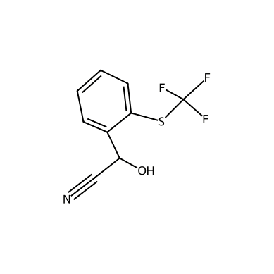 N#CC(O)c1ccccc1SC(F)(F)F